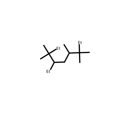 [CH2]C(CC(CC)C(C)(C)CC)C(C)(C)CC